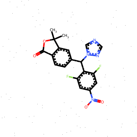 CC1(C)OC(=O)c2ccc(C(c3c(F)cc([N+](=O)[O-])cc3F)n3cncn3)cc21